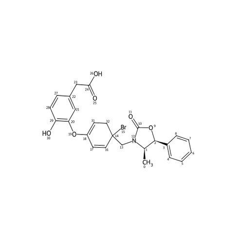 C[C@@H]1[C@H](c2ccccc2)OC(=O)N1CC1(Br)C=CC(Oc2cc(CC(=O)O)ccc2O)=CC1